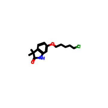 CC1(C)C(=O)Nc2cc(OCCCCCCl)ccc21